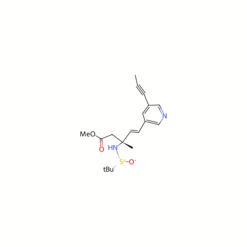 CC#Cc1cncc(/C=C/[C@@](C)(CC(=O)OC)N[S@+]([O-])C(C)(C)C)c1